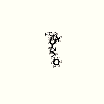 CC(C)(C)C1CC(c2nc(CSC3CCCCC3)cs2)CCN1C(=O)O